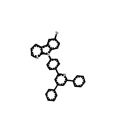 Brc1ccc2c(c1)c1cccnc1n2-c1ccc(-c2cc(-c3ccccc3)cc(-c3ccccc3)n2)cc1